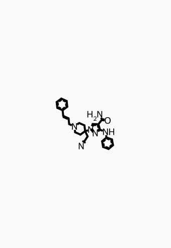 N#CCC1(n2cc(C(N)=O)c(Nc3ccccc3)n2)CCN(CC=Cc2ccccc2)CC1